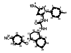 Cc1ccc(-n2nc(C(C)(C)C)cc2NC(=O)N[C@H]2CC[C@@H](Oc3ccc(C#N)nc3)c3ccccc32)cc1